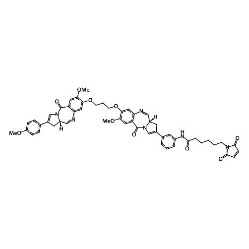 COc1ccc(C2=CN3C(=O)c4cc(OC)c(OCCCOc5cc6c(cc5OC)C(=O)N5C=C(c7cccc(NC(=O)CCCCCN8C(=O)C=CC8=O)c7)C[C@H]5C=N6)cc4N=C[C@@H]3C2)cc1